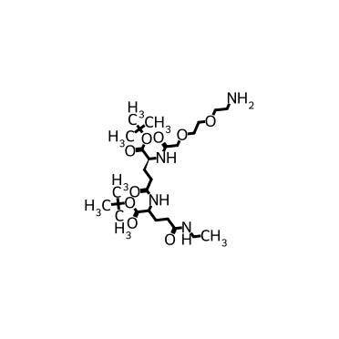 CCNC(=O)CCC(NC(=O)CC[C@H](NC(=O)COCCOCCN)C(=O)OC(C)(C)C)C(=O)OC(C)(C)C